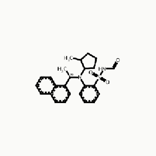 CC1CCCC1N(c1ccccc1S(=O)(=O)NC=O)[C@H](C)c1cccc2ccccc12